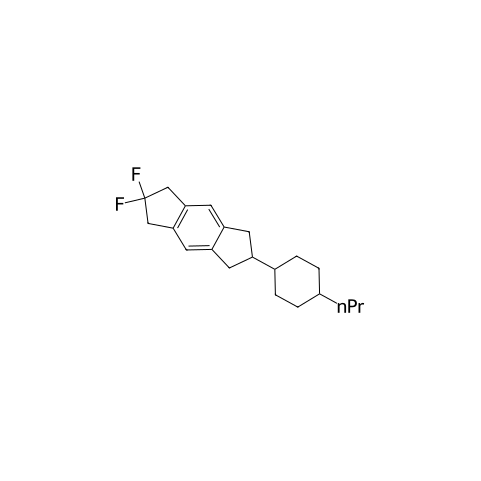 CCCC1CCC(C2Cc3cc4c(cc3C2)CC(F)(F)C4)CC1